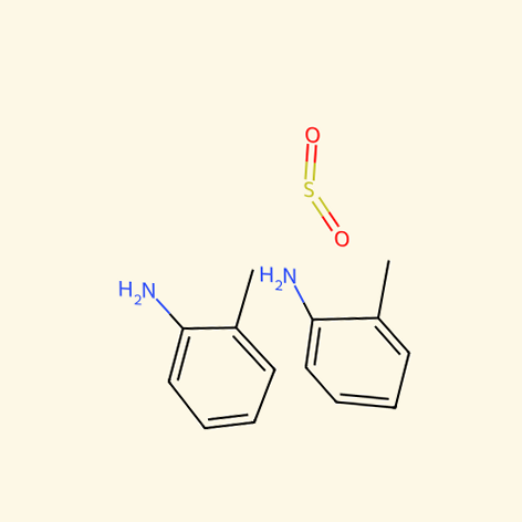 Cc1ccccc1N.Cc1ccccc1N.O=S=O